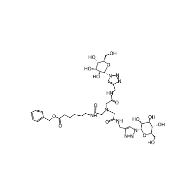 O=C(CN(CC(=O)NCc1cn([C@H]2O[C@H](CO)[C@@H](O)[C@H](O)[C@@H]2O)nn1)CC(=O)NCc1cn([C@H]2O[C@H](CO)[C@@H](O)[C@H](O)[C@@H]2O)nn1)NCCCCCC(=O)OCc1ccccc1